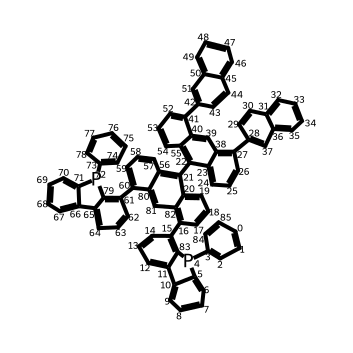 c1ccc(-p2c3ccccc3c3cccc(-c4cccc5c(-c6c7cccc(-c8ccc9ccccc9c8)c7cc7c(-c8ccc9ccccc9c8)cccc67)c6cccc(-c7cccc8c9ccccc9p(-c9ccccc9)c78)c6cc45)c32)cc1